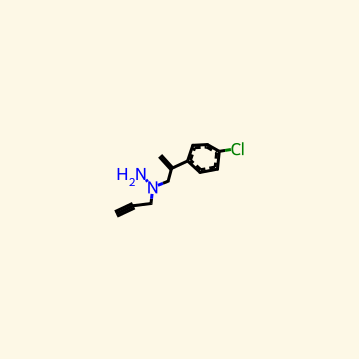 C#CCN(N)CC(=C)c1ccc(Cl)cc1